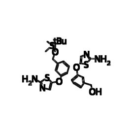 CC(C)(C)[Si](C)(C)OCc1cccc(Oc2cnc(N)s2)c1.Nc1ncc(Oc2cccc(CO)c2)s1